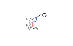 CC1CN(CC=Cc2ccccc2)CCN1C(=O)OC(C)(C)C